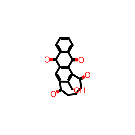 O=C1CCCC(=O)c2c(CO)c1cc1c2C(=O)c2ccccc2C1=O